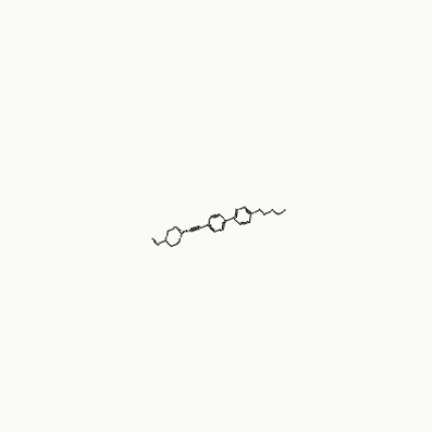 CCCCCc1ccc(-c2ccc(C#CC3CCC(CC)CC3)cc2)cc1